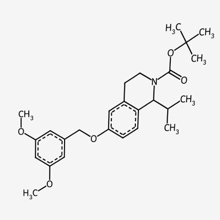 COc1cc(COc2ccc3c(c2)CCN(C(=O)OC(C)(C)C)C3C(C)C)cc(OC)c1